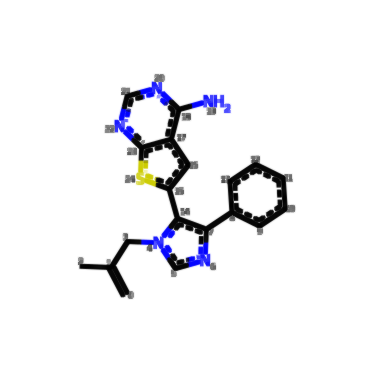 C=C(C)Cn1cnc(-c2ccccc2)c1-c1cc2c(N)ncnc2s1